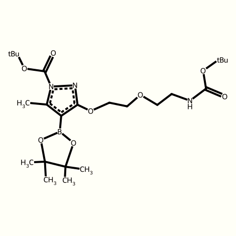 Cc1c(B2OC(C)(C)C(C)(C)O2)c(OCCOCCNC(=O)OC(C)(C)C)nn1C(=O)OC(C)(C)C